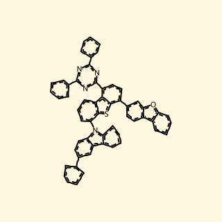 c1ccc(-c2ccc3c(c2)c2ccccc2n3-c2cccc3c2sc2c(-c4ccc5c(c4)oc4ccccc45)ccc(-c4nc(-c5ccccc5)nc(-c5ccccc5)n4)c23)cc1